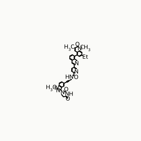 CCc1cc(-c2cccc3cc(-c4ccc(C(=O)NCC#Cc5ccc6c(c5)c(N5CCC(=O)NC5=O)nn6C)nc4)ncc23)c2cc(C)c(=O)n(C)c2c1